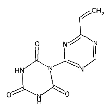 C=Cc1ncnc(-n2c(=O)[nH]c(=O)[nH]c2=O)n1